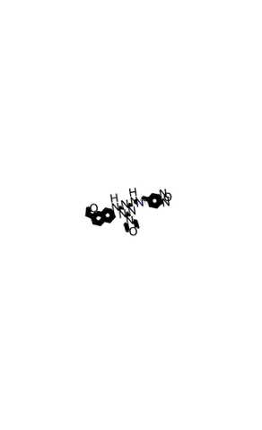 C(=N\Nc1nc(Nc2ccc3ccc4ccoc4c3c2)nc(N2CCOCC2)n1)/c1ccc2nonc2c1